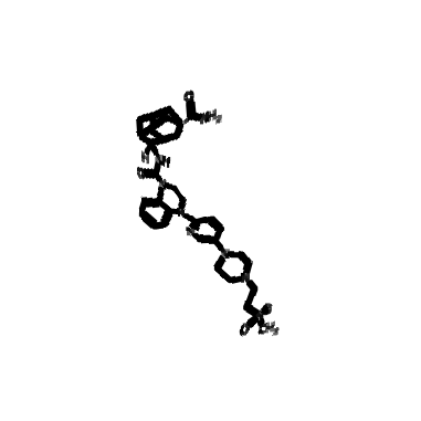 CS(=O)(=O)CCN1CCN(c2ccc(N3CCN(C(=O)N[C@H]4C5CC6CC4C[C@@](C(N)=O)(C6)C5)c4ccccc43)nc2)CC1